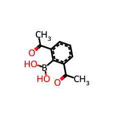 CC(=O)c1cccc(C(C)=O)c1B(O)O